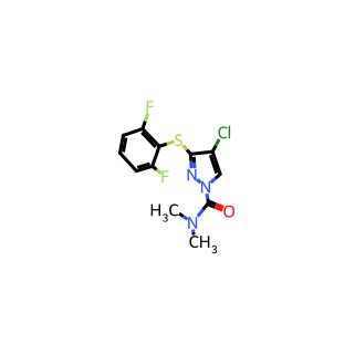 CN(C)C(=O)n1cc(Cl)c(Sc2c(F)cccc2F)n1